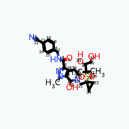 Cn1nc(C(=O)NCc2ccc(C#N)cc2)c2c1C(O)N(CC1(S(=O)(=O)C(C)(C)[C@H](O)CO)CC1)CC2